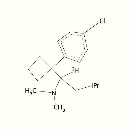 [2H]C(CC(C)C)(N(C)C)C1(c2ccc(Cl)cc2)CCC1